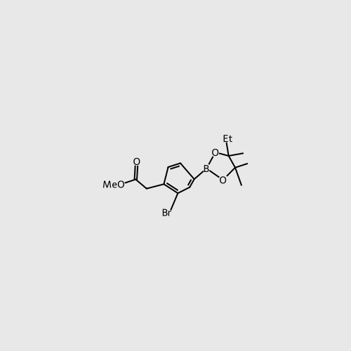 CCC1(C)OB(c2ccc(CC(=O)OC)c(Br)c2)OC1(C)C